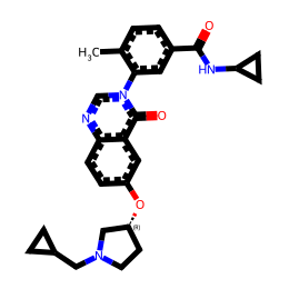 Cc1ccc(C(=O)NC2CC2)cc1-n1cnc2ccc(O[C@@H]3CCN(CC4CC4)C3)cc2c1=O